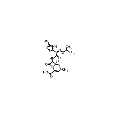 CC(C)O/N=C(\C(=O)NC1C(=O)N2C(C(=O)O)=CC(C)S[C@H]12)c1csc(=N)[nH]1